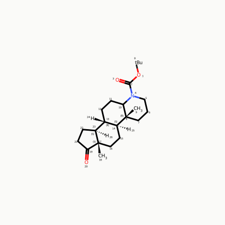 CC(C)(C)OC(=O)N1CCC[C@@]2(C)C1CC[C@@H]1[C@@H]2CC[C@]2(C)C(=O)CC[C@@H]12